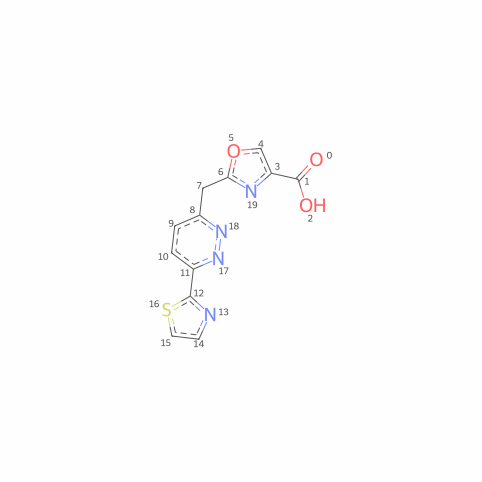 O=C(O)c1coc(Cc2ccc(-c3nccs3)nn2)n1